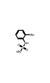 CCCCS(=O)(=O)Nc1ccccc1C(C)(C)C